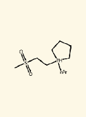 CCC[PH]1(CCS(C)(=O)=O)CCCC1